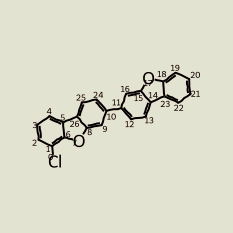 Clc1cccc2c1oc1cc(-c3ccc4c(c3)oc3ccccc34)ccc12